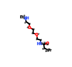 CCNCCOCCOCCNC(=O)CC(C)C